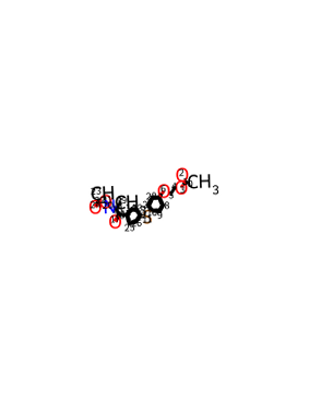 CC(=O)OCCOc1ccc(Sc2ccc(C(=O)/C(C)=N/OC(C)=O)cc2)cc1